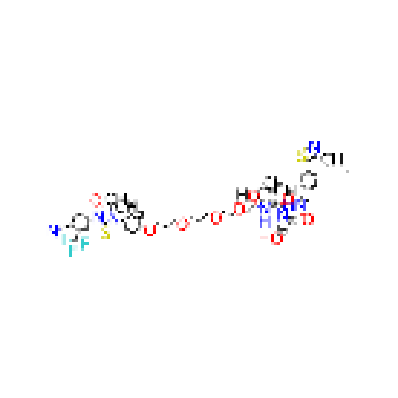 Cc1ncsc1-c1ccc(CNC(=O)[C@@H]2C[C@@H](O)CN2C(=O)[C@@H](NC(=O)COCCOCCCOCCCOc2ccc(N3C(=S)N(c4ccc(C#N)c(C(F)(F)F)c4)C(=O)C3(C)C)cc2)C(C)(C)C)cc1